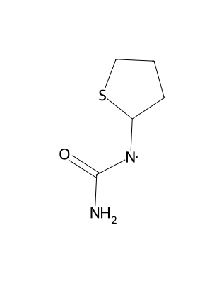 NC(=O)[N]C1CCCS1